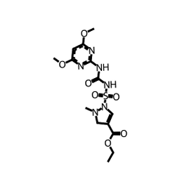 CCOC(=O)C1=CN(S(=O)(=O)NC(=O)Nc2nc(OC)cc(OC)n2)N(C)C1